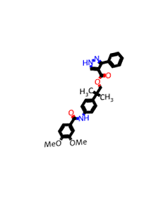 COc1ccc(C(=O)Nc2ccc(C(C)(C)COC(=O)c3c[nH]nc3-c3ccccc3)cc2)cc1OC